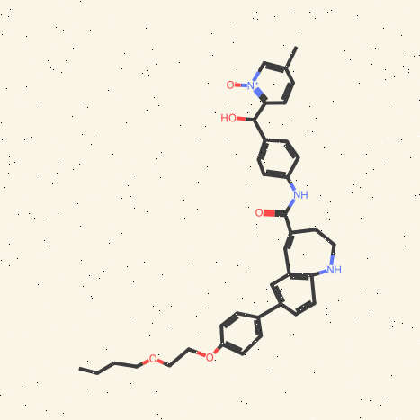 CCCCOCCOc1ccc(-c2ccc3c(c2)C=C(C(=O)Nc2ccc(C(O)c4ccc(C)c[n+]4[O-])cc2)CCN3)cc1